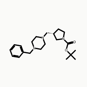 CC(C)(C)OC(=O)N1CC[C@@H](CN2CCN(Cc3ccccc3)CC2)C1